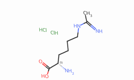 CC(=N)NCCCC[C@H](N)C(=O)O.Cl.Cl